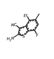 CCc1c(C)cc(F)c2sc(N)c(C#N)c12